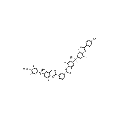 COc1c(C)cc(C(C)(c2cc(C)c(OC(=O)c3cccc(C(=O)Oc4c(C)cc(C(C)(c5cc(C)c(OC(=O)c6ccc(C(C)=O)cc6)c(C)c5)C(C)C)cc4C)c3)c(C)c2)C(C)C)cc1C